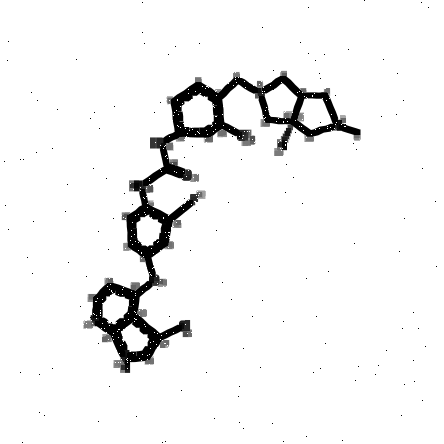 CN1CC2CN(Cc3ccc(NC(=O)Nc4ccc(Oc5ccnc6[nH]cc(Cl)c56)cc4F)cc3C(F)(F)F)C[C@@H]2C1